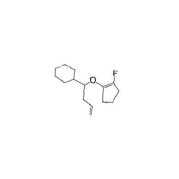 C=CCC(OC1=C(F)CCC1)C1CCCCC1